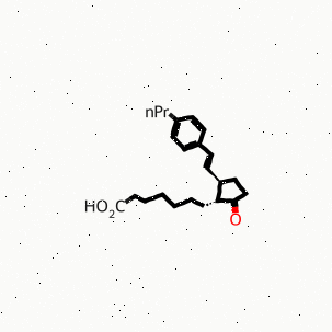 CCCc1ccc(C=C[C@H]2CCC(=O)[C@@H]2CCCCCCC(=O)O)cc1